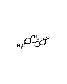 Cc1ccc(C)c(-c2ccc3ccc(=O)oc3c2)c1